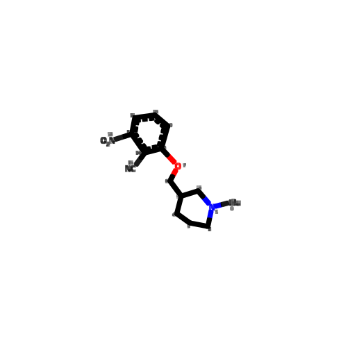 CC(C)(C)N1CCCC(COc2cccc([N+](=O)[O-])c2C#N)C1